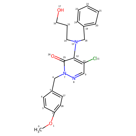 COc1ccc(Cn2ncc(Cl)c(N(CCCO)Cc3ccccc3)c2=O)cc1